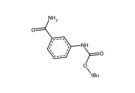 CC(C)(C)OC(=O)Nc1c[c]cc(C(N)=O)c1